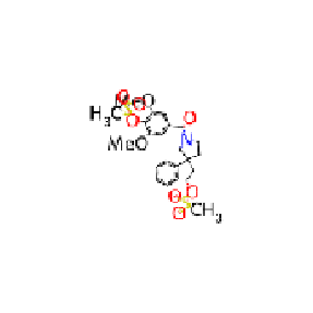 COc1cc(C(=O)N2CCC(CCOS(C)(=O)=O)(c3ccccc3)C2)cc(OC)c1OS(C)(=O)=O